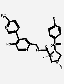 C[C@@]1(C(=O)NCc2cc(-c3ccc(C(F)(F)F)nc3)c(O)cn2)C[C@@H](F)CN1S(=O)(=O)c1ccc(F)cc1